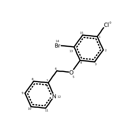 Clc1ccc(OCc2ccccn2)c(Br)c1